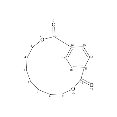 O=C1OCCCCCCCOC(=O)c2ccc1cc2